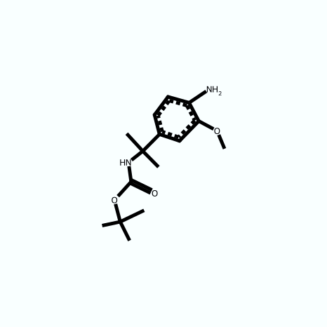 COc1cc(C(C)(C)NC(=O)OC(C)(C)C)ccc1N